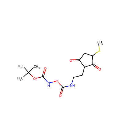 CSC1CC(=O)C(CCNC(=O)ONC(=O)OC(C)(C)C)C1=O